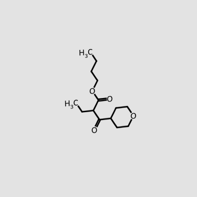 CCCCOC(=O)C(CC)C(=O)C1CCOCC1